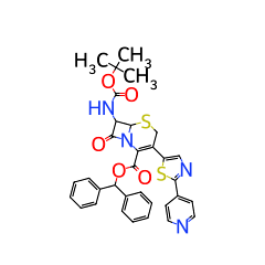 CC(C)(C)OC(=O)NC1C(=O)N2C(C(=O)OC(c3ccccc3)c3ccccc3)=C(c3cnc(-c4ccncc4)s3)CSC12